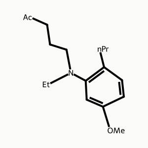 CCCc1ccc(OC)cc1N(CC)CCCC(C)=O